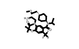 COCC[C@H]1CC[C@H](N(C(=O)c2cc3c(cc2C(F)(F)F)OC(C)(C)C(=O)N3CCN)C(C)C)CC1